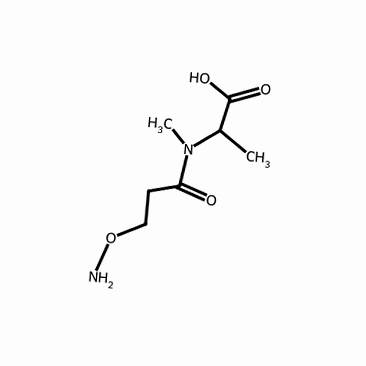 CC(C(=O)O)N(C)C(=O)CCON